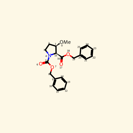 CO[C@@H]1CCN(C(=O)OCc2ccccc2)[C@@H]1C(=O)OCc1ccccc1